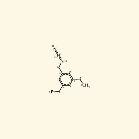 CCc1cc(CF)cc(CN=[N+]=[N-])c1